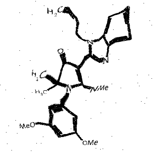 C=CCn1c(C2=C(NC)N(c3cc(OC)cc(OC)c3)C(C)(C)C2=O)nc2ccccc21